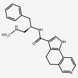 O=C(O)NC[C@@H](Cc1ccccc1)NC(=O)c1c[nH]c2c1CCc1cnccc1-2